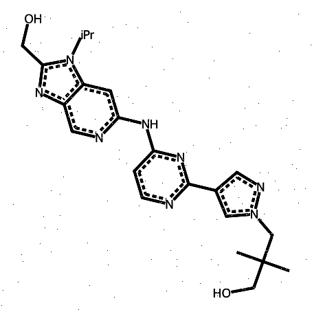 CC(C)n1c(CO)nc2cnc(Nc3ccnc(-c4cnn(CC(C)(C)CO)c4)n3)cc21